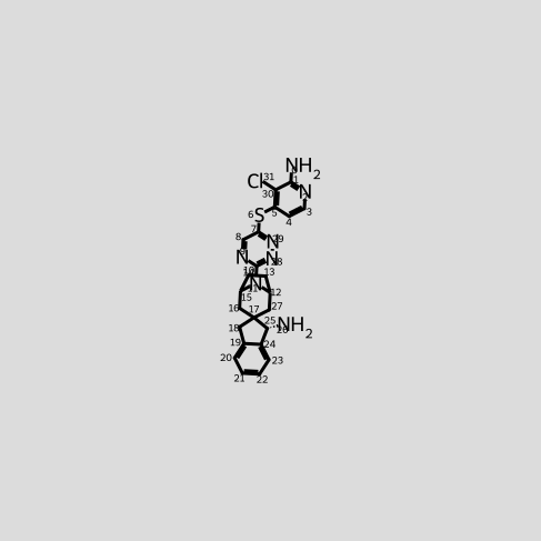 Nc1nccc(Sc2cnc(N3C4CCC3CC3(Cc5ccccc5[C@H]3N)C4)nn2)c1Cl